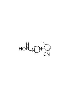 Cc1cccc(C#N)c1N1CCN(CNO)CC1